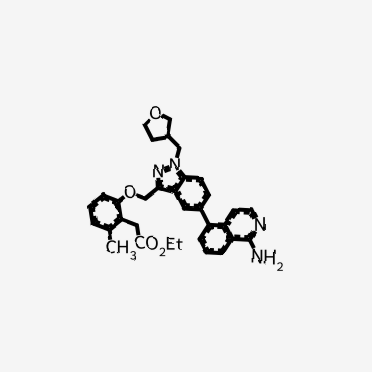 CCOC(=O)Cc1c(C)cccc1OCc1nn(CC2CCOC2)c2ccc(-c3cccc4c(N)nccc34)cc12